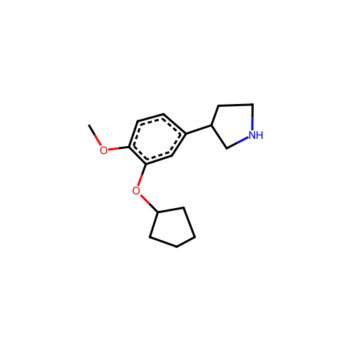 COc1ccc(C2CCNC2)cc1OC1CCCC1